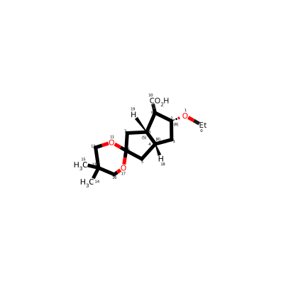 CCO[C@@H]1C[C@@H]2CC3(C[C@@H]2C1C(=O)O)OCC(C)(C)CO3